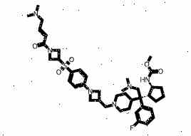 COC(=O)N[C@H]1CCC[C@@H]1C(CN(C)C)(c1cccc(F)c1)C1CCN(CC2CN(c3ccc(S(=O)(=O)C4CN(C(=O)/C=C/CN(C)C)C4)cc3)C2)CC1